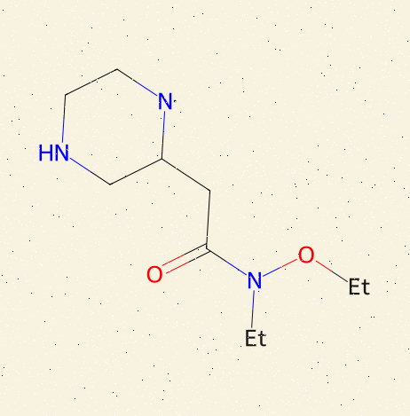 CCON(CC)C(=O)CC1CNCC[N]1